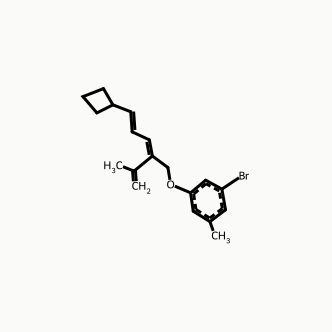 C=C(C)/C(=C\C=C\C1CCC1)COc1cc(C)cc(Br)c1